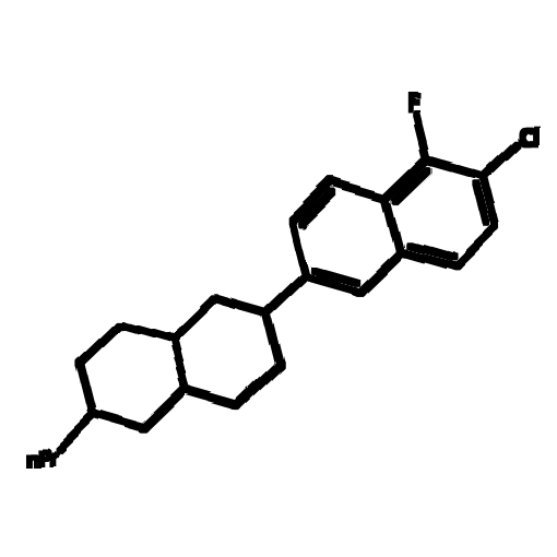 CCCC1CCC2CC(c3ccc4c(F)c(Cl)ccc4c3)CCC2C1